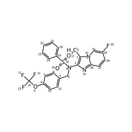 Cc1c(N(Cc2ccc(OC(F)(F)F)cc2)S(=O)(=O)c2ccccc2)nc2ccc(F)cn12